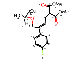 COC(=O)C(CC=C(CO[Si](C)(C)C(C)(C)C)c1ccc(F)cc1)C(=O)OC